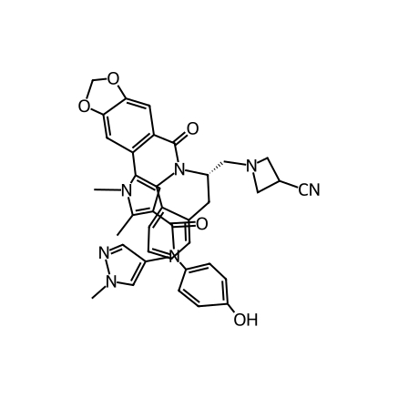 Cc1c(C(=O)N(c2ccc(O)cc2)c2cnn(C)c2)cc(-c2cc3c(cc2C(=O)N2Cc4ccccc4C[C@H]2CN2CC(C#N)C2)OCO3)n1C